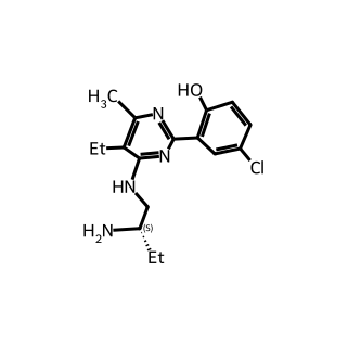 CCc1c(C)nc(-c2cc(Cl)ccc2O)nc1NC[C@@H](N)CC